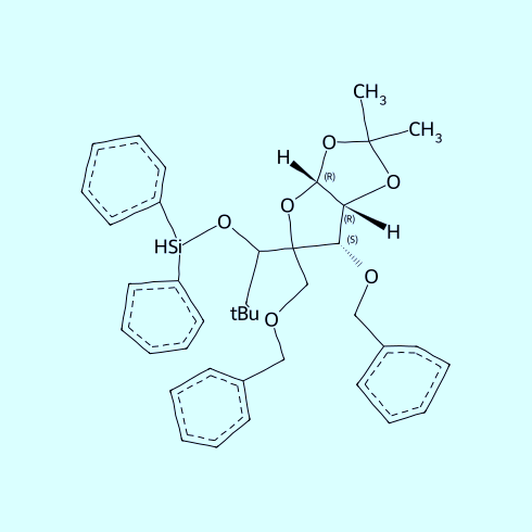 CC(C)(C)CC(O[SiH](c1ccccc1)c1ccccc1)C1(COCc2ccccc2)O[C@@H]2OC(C)(C)O[C@@H]2[C@@H]1OCc1ccccc1